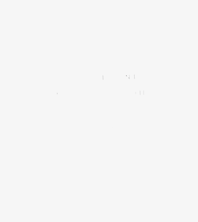 CCC(C=O)Cc1ccccc1.CNC